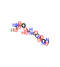 CC(CO)NS(=O)(=O)c1cccc(OCC(O)CN[C@H]2COC3(CCN(S(=O)(=O)c4cnc5c(c4)N(C)CCO5)CC3)C2)c1